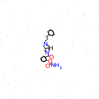 NC(=O)Oc1ccccc1C(=O)N1CC2CN(CC[CH]c3ccccc3)C[C@H]2C1